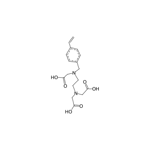 C=Cc1ccc(CN(CCN(CC(=O)O)CC(=O)O)CC(=O)O)cc1